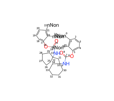 CCCCCCCCCc1cccc(OC(=O)NC2(CC3(NC(=O)Oc4cccc(CCCCCCCCC)c4CCCCCCCCC)CCCCC3)CCCCC2)c1CCCCCCCCC